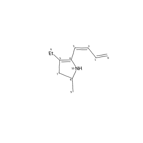 C=C/C=C\C1=C(CC)CC(C)N1